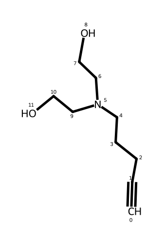 C#CCCCN(CCO)CCO